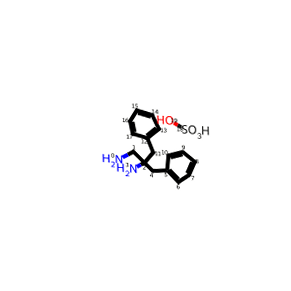 NCC(N)(Cc1ccccc1)Cc1ccccc1.O=S(=O)(O)O